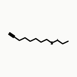 C#CCCCCCCS[CH]CC